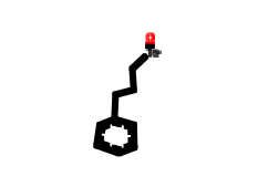 O=[Te]CCCc1ccccc1